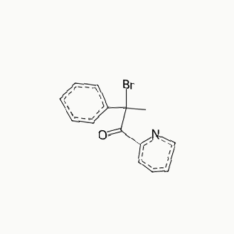 CC(Br)(C(=O)c1ccccn1)c1ccccc1